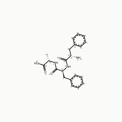 C[C@H](NC(=O)[C@H](Cc1ccccc1)NC(=O)[C@@H](N)Cc1ccccc1)C(=O)O